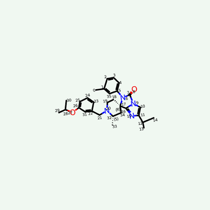 Cc1cccc(N2C(=O)n3cc(C(C)C)nc3[C@]23CCN(Cc2cccc(OC(C)C)c2)[C@@H](C)C3)c1